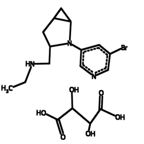 CCNCC1CC2CC2N1c1cncc(Br)c1.O=C(O)C(O)C(O)C(=O)O